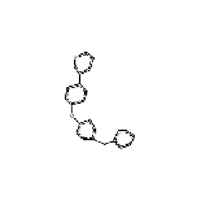 c1ccc(Cc2ccc(Oc3ccc(-c4cccnc4)cc3)cc2)cc1